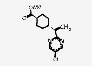 C=C(c1ncc(Cl)cn1)[C@H]1CC[C@H](C(=O)OC)CC1